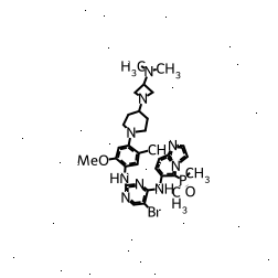 COc1cc(N2CCC(N3CC(N(C)C)C3)CC2)c(C)cc1Nc1ncc(Br)c(Nc2ccc3nccn3c2P(C)(C)=O)n1